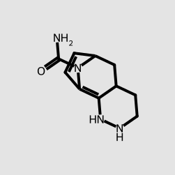 NC(=O)N1C2=C3NNCCC3CC1C=C2